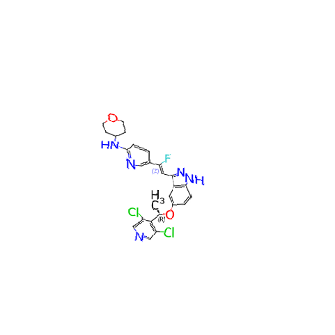 C[C@@H](Oc1ccc2[nH]nc(/C=C(\F)c3ccc(NC4CCOCC4)nc3)c2c1)c1c(Cl)cncc1Cl